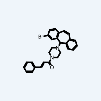 O=C(C=Cc1ccccc1)N1CCN(C2c3ccccc3C=Cc3ccc(Br)cc32)CC1